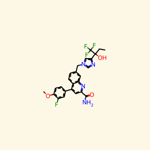 CCC(O)(c1cn(Cc2ccc3c(-c4ccc(OC)c(F)c4)cc(C(N)=O)nc3c2)cn1)C(F)(F)F